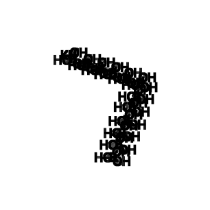 OB(O)O.OB(O)O.OB(O)O.OB(O)O.OB(O)O.OB(O)O.OB(O)O.OB(O)O.OB(O)O.OB(O)O.OB(O)O.OB(O)O.[KH]